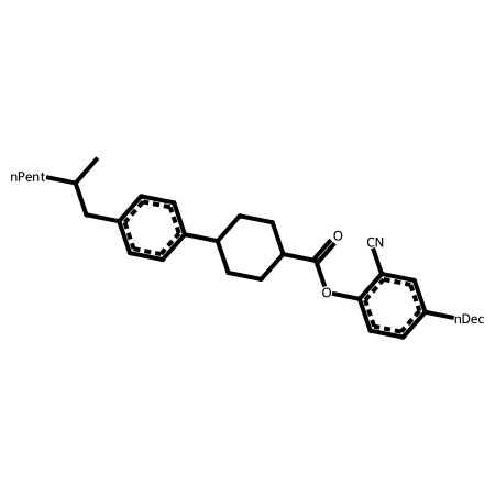 CCCCCCCCCCc1ccc(OC(=O)C2CCC(c3ccc(CC(C)CCCCC)cc3)CC2)c(C#N)c1